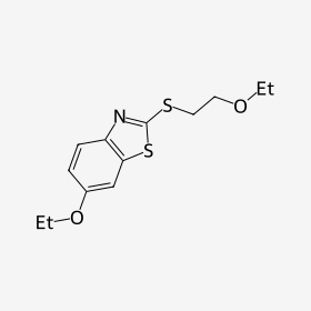 CCOCCSc1nc2ccc(OCC)cc2s1